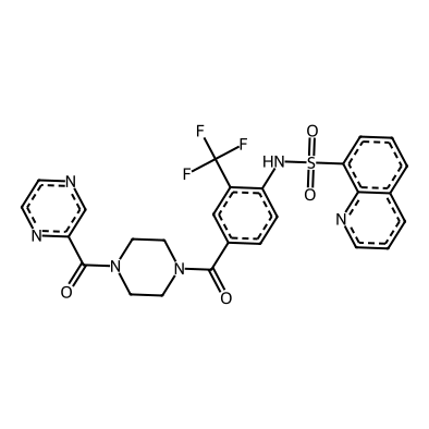 O=C(c1ccc(NS(=O)(=O)c2cccc3cccnc23)c(C(F)(F)F)c1)N1CCN(C(=O)c2cnccn2)CC1